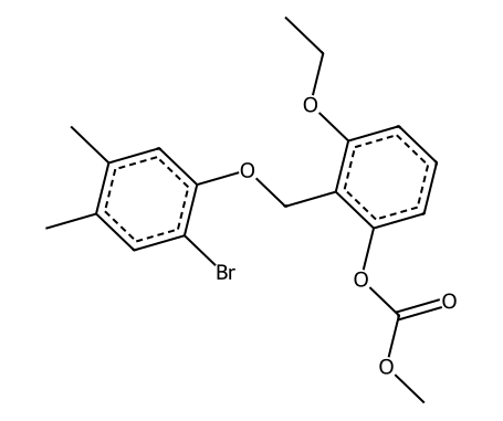 CCOc1cccc(OC(=O)OC)c1COc1cc(C)c(C)cc1Br